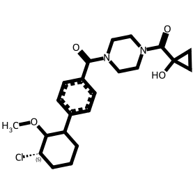 COC1C(c2ccc(C(=O)N3CCN(C(=O)C4(O)CC4)CC3)cc2)CCC[C@@H]1Cl